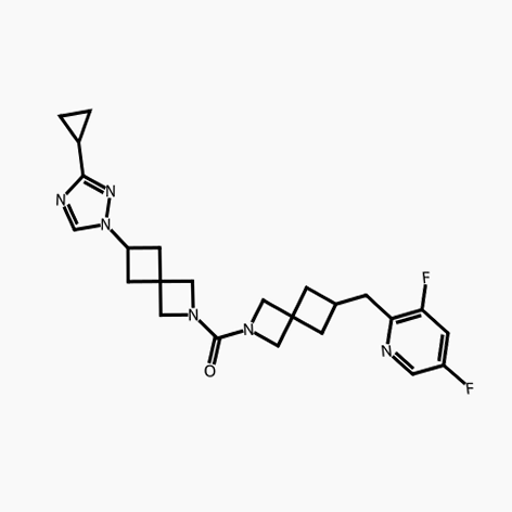 O=C(N1CC2(CC(Cc3ncc(F)cc3F)C2)C1)N1CC2(CC(n3cnc(C4CC4)n3)C2)C1